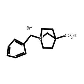 CCOC(=O)C12CC[N+](Cc3ccccc3)(CC1)C2.[Br-]